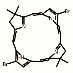 CC1(C)Cc2cc3[nH]c(cc4nc(cc5[nH]c(cc1n2)cc5Br)CC4(C)C)cc3Br